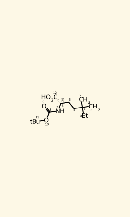 CCC(C)(C)CC[C@H](NC(=O)OC(C)(C)C)C(=O)O